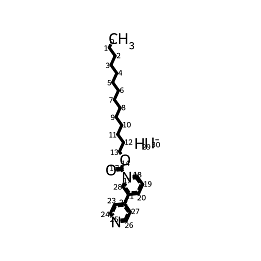 CCCCCCCCCCCCCCOC(=O)[n+]1cccc(-c2ccncc2)c1.I.[I-]